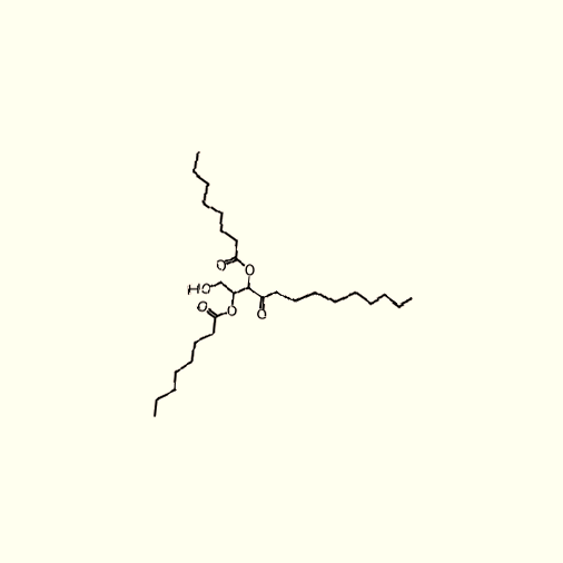 CCCCCCCCCC(=O)C(OC(=O)CCCCCCC)C(CO)OC(=O)CCCCCCC